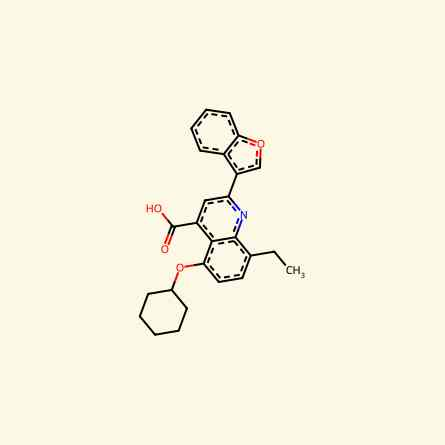 CCc1ccc(OC2CCCCC2)c2c(C(=O)O)cc(-c3coc4ccccc34)nc12